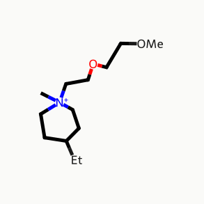 CCC1CC[N+](C)(CCOCCOC)CC1